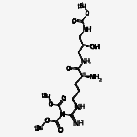 CC(C)(C)OC(=O)NCC(O)CNC(=O)[C@@H](N)CCCNC(=N)N(C(=O)OC(C)(C)C)C(=O)OC(C)(C)C